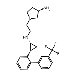 N[C@@H]1CCN(CCN[C@@H]2C[C@H]2c2ccccc2-c2cccc(C(F)(F)F)c2)C1